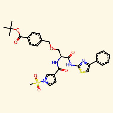 CC(C)(C)OC(=O)c1ccc(COC[C@H](NC(=O)c2ccn(S(C)(=O)=O)c2)C(=O)Nc2nc(-c3ccccc3)cs2)cc1